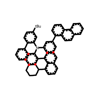 CC(C)(C)c1ccc(-c2ccccc2)c(N(c2cccc(-c3cccc4c3ccc3ccccc34)c2)c2ccccc2-c2cccc3cccc(C4CCCCC4)c23)c1